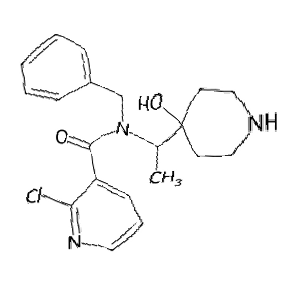 CC(N(Cc1ccccc1)C(=O)c1cccnc1Cl)C1(O)CCNCC1